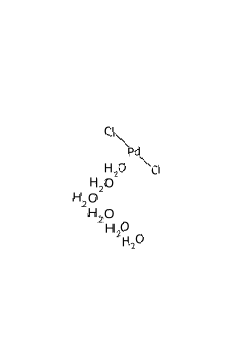 O.O.O.O.O.O.[Cl][Pd][Cl]